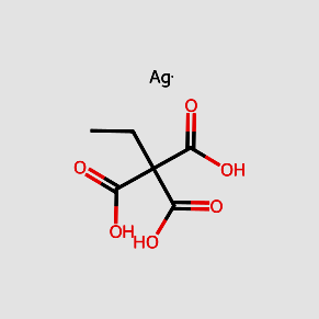 CCC(C(=O)O)(C(=O)O)C(=O)O.[Ag]